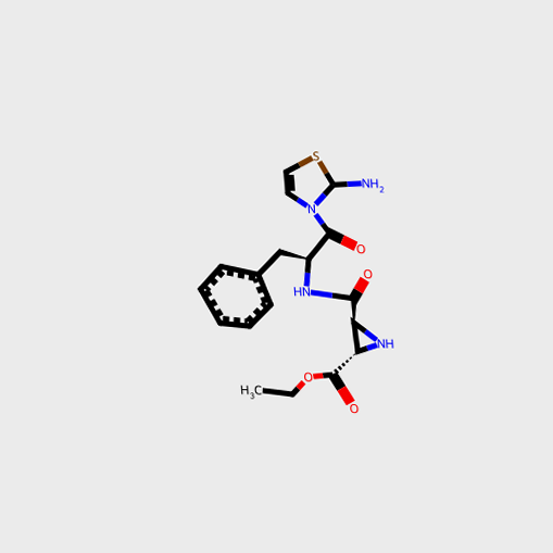 CCOC(=O)[C@H]1N[C@@H]1C(=O)N[C@@H](Cc1ccccc1)C(=O)N1C=CSC1N